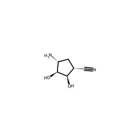 N#C[C@H]1C[C@@H](N)[C@H](O)[C@@H]1O